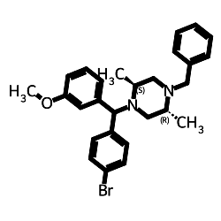 COc1cccc(C(c2ccc(Br)cc2)N2C[C@@H](C)N(Cc3ccccc3)C[C@@H]2C)c1